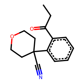 CCC(=O)c1ccccc1C1(C#N)CCOCC1